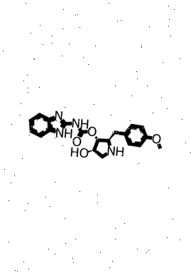 COc1ccc(C[C@H]2NC[C@H](O)[C@H]2OC(=O)Nc2nc3ccccc3[nH]2)cc1